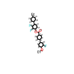 CCOc1ccc(-c2ccc(C(=O)Oc3ccc(-c4ccc(CC)cc4)c(F)c3F)cc2)cc1F